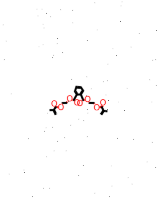 C=C(C)C(=O)OCCOC(=O)c1ccccc1C(=O)OCCOC(=O)C(=C)C